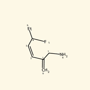 C=C(/C=C\C(F)CC)CN